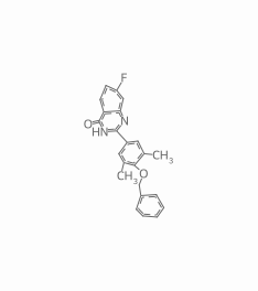 Cc1cc(-c2nc3cc(F)ccc3c(=O)[nH]2)cc(C)c1OCc1ccccc1